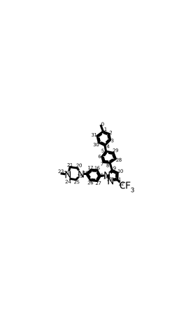 Cc1ccc(-c2ccc(-c3cc(C(F)(F)F)nn3-c3ccc(N4CCN(C)CC4)cc3)cc2)cc1